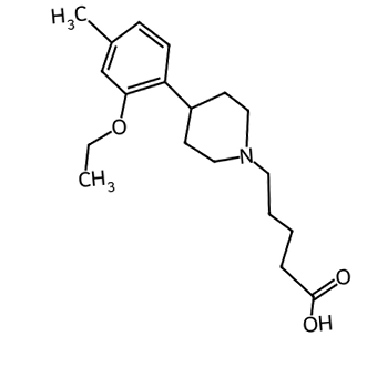 CCOc1cc(C)ccc1C1CCN(CCCCC(=O)O)CC1